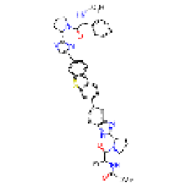 COC(=O)N[C@H](C(=O)N1CCC[C@H]1c1nc2ccc(-c3ccc4c(c3)sc3cc(-c5cnc([C@@H]6CCCN6C(=O)[C@H](NC(=O)O)c6ccccc6)[nH]5)ccc34)cc2[nH]1)C(C)C